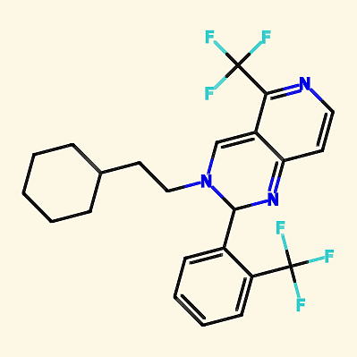 FC(F)(F)c1ccccc1C1N=c2ccnc(C(F)(F)F)c2=CN1CCC1CCCCC1